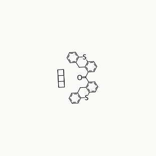 C12C3C4C1C1C2C3C41.O=C(c1cccc2c1Cc1ccccc1S2)c1cccc2c1Cc1ccccc1S2